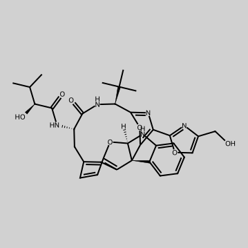 CC(C)[C@H](O)C(=O)N[C@H]1Cc2ccc3c(c2)[C@@]2(c4ccccc4N[C@@H]2O3)c2oc(nc2-c2nc(CO)co2)[C@H](C(C)(C)C)NC1=O